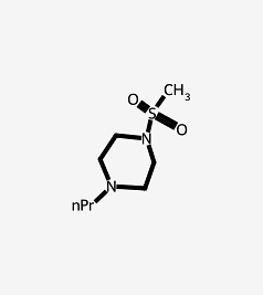 CCCN1CCN(S(C)(=O)=O)CC1